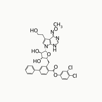 CO/N=c1\nc[nH]c2c1c(CCO)cn2[C@@H]1O[C@@H](Cc2cc(-c3ccccc3)ccc2C(=O)Oc2ccc(Cl)c(Cl)c2)[C@@H](O)[C@H]1O